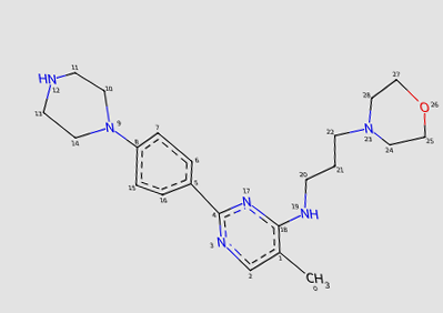 Cc1cnc(-c2ccc(N3CCNCC3)cc2)nc1NCCCN1CCOCC1